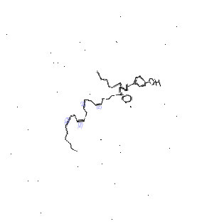 CCCCC/C=C\C/C=C\C/C=C\C/C=C\CCCC(=O)N(CCCCC)c1ccc(O)cc1